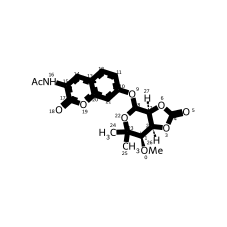 CO[C@@H]1[C@@H]2OC(=O)O[C@@H]2C(Oc2ccc3cc(NC(C)=O)c(=O)oc3c2)OC1(C)C